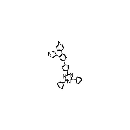 c1ccc(-c2nc(-c3ccccc3)nc(-c3ccc(-c4ccc(-c5ccncc5)c(-c5ccncc5)c4)cc3)n2)cc1